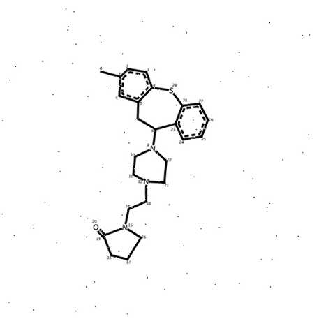 Cc1ccc2c(c1)CC(N1CCN(CCN3CCCC3=O)CC1)c1ccccc1S2